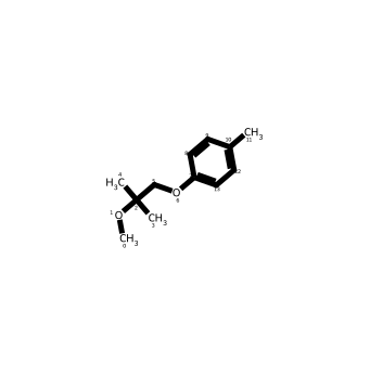 COC(C)(C)COc1ccc(C)cc1